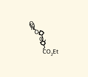 CCOC(=O)CCc1ccc(OCc2cccc(OCCN3CCOCC3)c2)c(C)c1